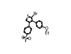 CCOc1ccc(-c2c(-c3ccc(S(C)(=O)=O)cc3)csc2Br)cc1